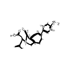 CC(C)C(C(=O)O)N1Cc2ccc(-c3cnc(N)cn3)cc2C1=O